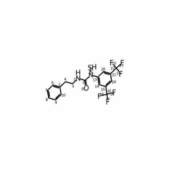 O=C(NCCc1ccccc1)N(S)c1cc(C(F)(F)F)cc(C(F)(F)F)c1